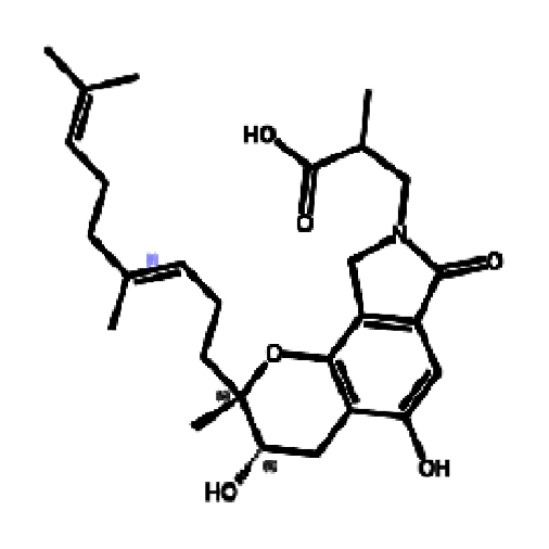 CC(C)=CCC/C(C)=C/CC[C@]1(C)Oc2c(c(O)cc3c2CN(CC(C)C(=O)O)C3=O)C[C@@H]1O